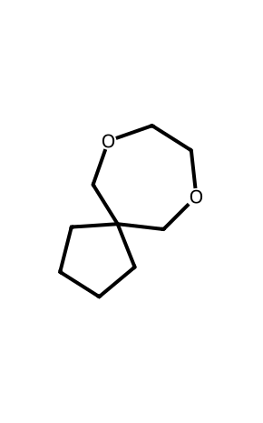 C1CCC2(C1)COCCOC2